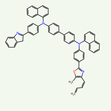 C=C/C=C\c1nc(-c2ccc(N(c3ccc(-c4ccc(N(c5ccc(C6=Nc7ccccc7C6)cc5)c5cccc6ccccc56)cc4)cc3)c3cccc4ccccc34)cc2)oc1C